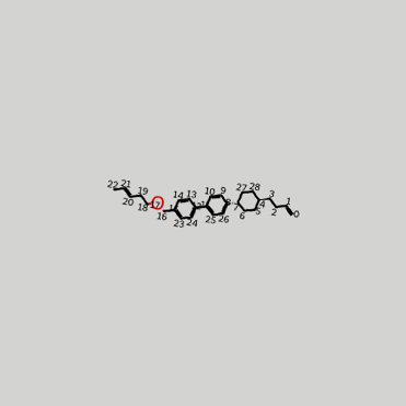 C=CCC[C@H]1CC[C@H](c2ccc(-c3ccc(COCCC=CC)cc3)cc2)CC1